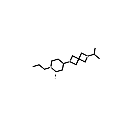 CCCN1CCC(N2CC3(CN(C(C)C)C3)C2)C[C@@H]1C